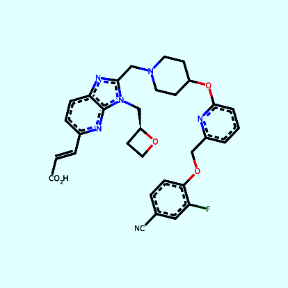 N#Cc1ccc(OCc2cccc(OC3CCN(Cc4nc5ccc(/C=C/C(=O)O)nc5n4C[C@@H]4CCO4)CC3)n2)c(F)c1